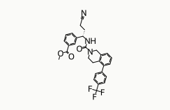 COC(=O)c1cccc([C@H](CCC#N)NC(=O)N2CCc3c(cccc3-c3ccc(C(F)(F)F)cc3)C2)c1